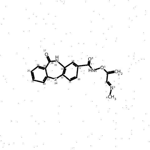 C=C(C=NC)ONC(=O)c1ccc2c(c1)NC(=O)c1ccccc1S2